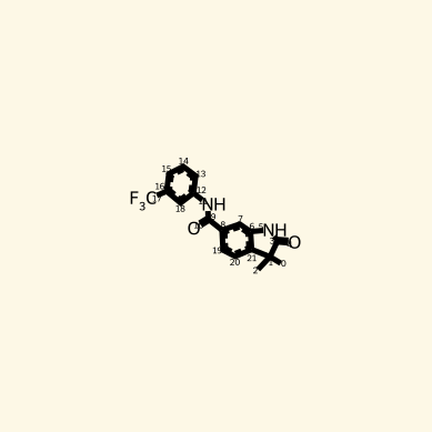 CC1(C)C(=O)Nc2cc(C(=O)Nc3cccc(C(F)(F)F)c3)ccc21